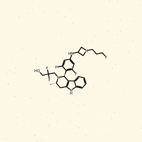 C[C@H]1Cc2[nH]c3ccccc3c2[C@H](c2c(F)cc(NC3CN(CCCF)C3)cc2F)N1CC(F)(F)CO